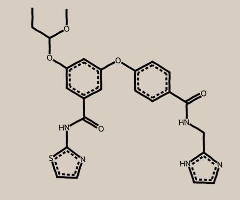 CCC(OC)Oc1cc(Oc2ccc(C(=O)NCc3ncc[nH]3)cc2)cc(C(=O)Nc2nccs2)c1